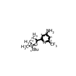 CC(O[Si](C)(C)C(C)(C)C)c1cc(N)cc(C(F)(F)F)n1